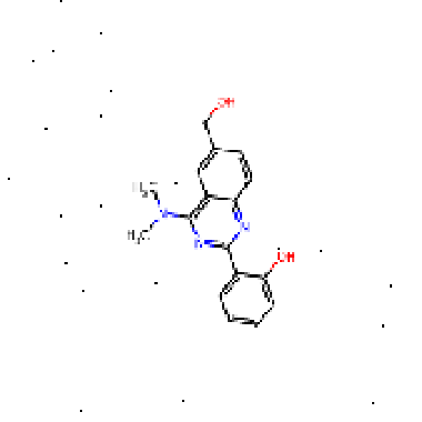 CN(C)c1nc(-c2ccccc2O)nc2ccc(CO)cc12